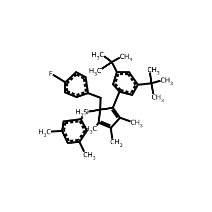 CC1=C(C)C(Cc2ccc(F)cc2)([SiH2]c2cc(C)cc(C)c2)C(c2cc(C(C)(C)C)cc(C(C)(C)C)c2)=C1C